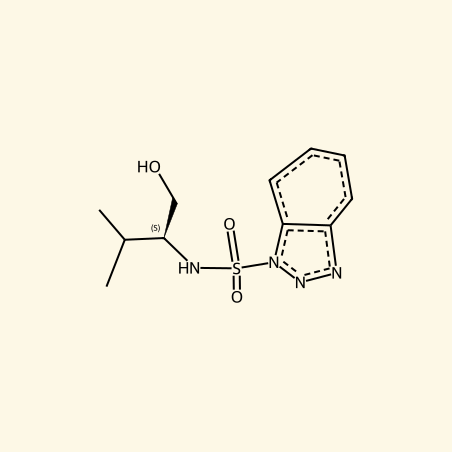 CC(C)[C@@H](CO)NS(=O)(=O)n1nnc2ccccc21